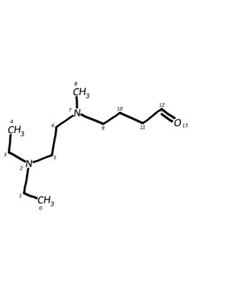 CCN(CC)CCN(C)CCC[C]=O